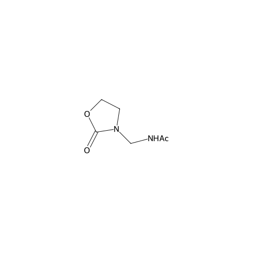 CC(=O)NCN1CCOC1=O